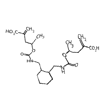 C=C(CC(C)OC(=O)NCC1CCCCC1CNC(=O)OC(C)CC(=C)C(=O)O)C(=O)O